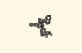 CC1CC(COP(N[C@@H](C)C=O)Oc2cccc3ccccc23)OC1N